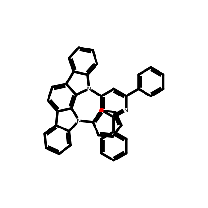 c1ccc(-c2cc(-n3c4ccccc4c4ccc5c6ccccc6n(-c6ccccc6)c5c43)cc(-c3ccccc3)n2)cc1